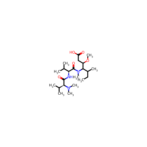 CCC(C)C(C(CC(=O)O)OC)N(C)C(=O)[C@@H](NC(=O)[C@H](C(C)C)N(C)C)C(C)C